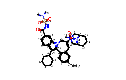 COc1ccc2c(c1)C=C(C(=O)N1C3CCCC1CN(C)C3)Cn1c-2c(C2CCCCC2)c2ccc(C(=O)NS(=O)(=O)N(C)C)cc21